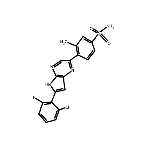 Cc1cc(S(N)(=O)=O)ccc1-c1cnc2[nH]c(-c3c(F)cccc3Cl)cc2n1